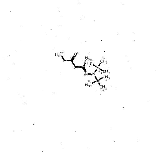 CCC(=O)C/C(C)=N/N([Si](C)(C)C)[Si](C)(C)C